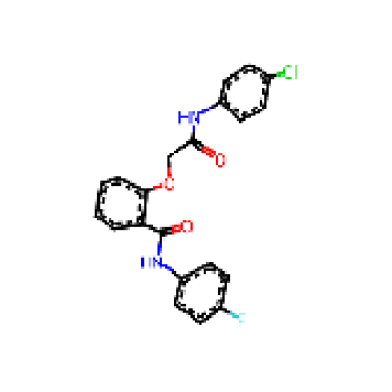 O=C(COc1ccccc1C(=O)Nc1ccc(F)cc1)Nc1ccc(Cl)cc1